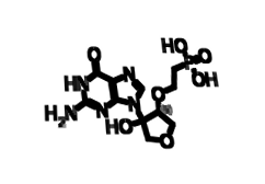 Nc1nc2c(ncn2C2(O)COC[C@@H]2OCCP(=O)(O)O)c(=O)[nH]1